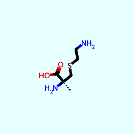 C[C@@](N)(CSCCN)C(=O)O